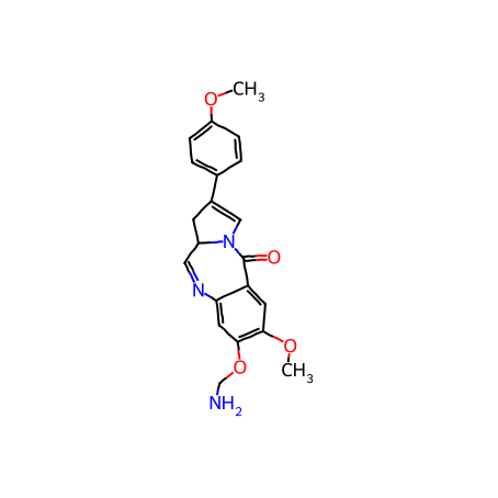 COc1ccc(C2=CN3C(=O)c4cc(OC)c(OCN)cc4N=CC3C2)cc1